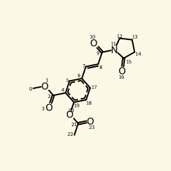 COC(=O)c1cc(/C=C/C(=O)N2CCCC2=O)ccc1OC(C)=O